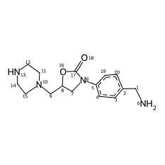 NCc1ccc(N2CC(CN3CCNCC3)OC2=O)cc1